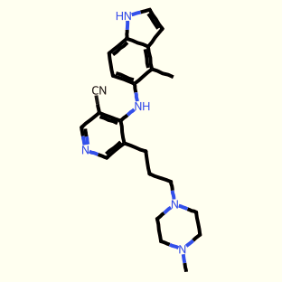 Cc1c(Nc2c(C#N)cncc2CCCN2CCN(C)CC2)ccc2[nH]ccc12